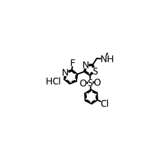 CNCc1nc(-c2cccnc2F)c(S(=O)(=O)c2cccc(Cl)c2)s1.Cl